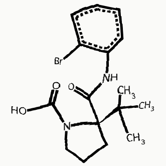 CC(C)(C)[C@@]1(C(=O)Nc2ccccc2Br)CCCN1C(=O)O